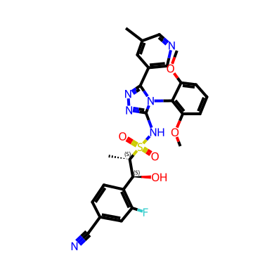 COc1cccc(OC)c1-n1c(NS(=O)(=O)[C@@H](C)[C@@H](O)c2ccc(C#N)cc2F)nnc1-c1cncc(C)c1